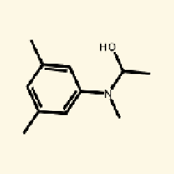 Cc1cc(C)cc(N(C)C(C)O)c1